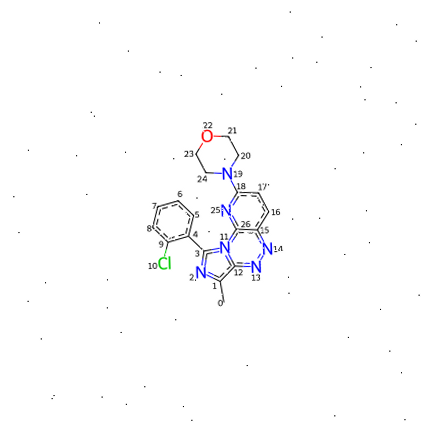 Cc1nc(-c2ccccc2Cl)n2c1nnc1ccc(N3CCOCC3)nc12